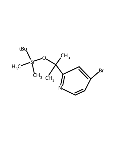 CC(C)(O[Si](C)(C)C(C)(C)C)c1cc(Br)ccn1